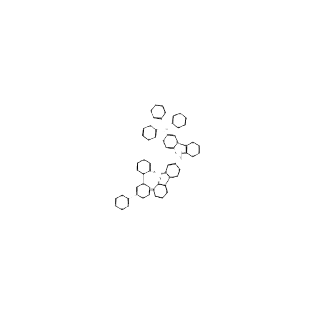 c1ccc(-c2cccc(-c3ccccc3-n3c4ccccc4c4ccc(-n5c6ccccc6c6cc([Si](c7ccccc7)(c7ccccc7)c7ccccc7)ccc65)cc43)c2)cc1